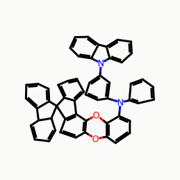 C1=CC2c3ccccc3C3(c4ccccc4-c4c3ccc3c4Oc4c(cccc4N(c4ccccc4)c4cccc(-n5c6ccccc6c6ccccc65)c4)O3)C2C=C1